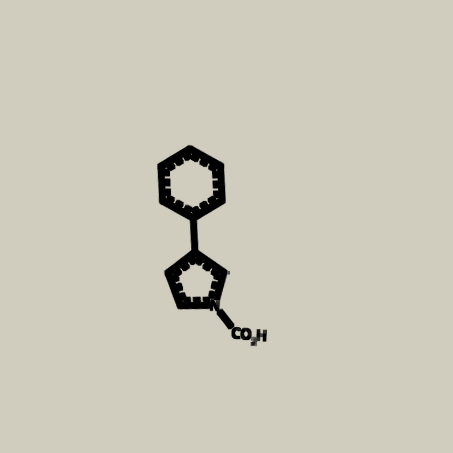 O=C(O)n1[c]c(-c2ccccc2)cc1